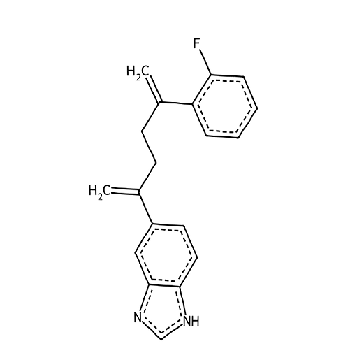 C=C(CCC(=C)c1ccccc1F)c1ccc2[nH]cnc2c1